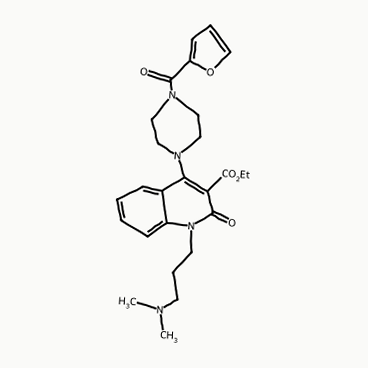 CCOC(=O)c1c(N2CCN(C(=O)c3ccco3)CC2)c2ccccc2n(CCCN(C)C)c1=O